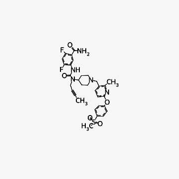 CC#CCN(C(=O)Nc1cc(C(N)=O)c(F)cc1F)C1CCN(Cc2ccc(Oc3ccc(S(C)(=O)=O)cc3)nc2C)CC1